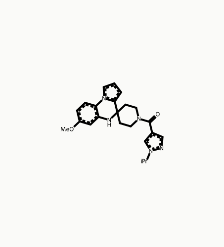 COc1ccc2c(c1)NC1(CCN(C(=O)c3cnn(C(C)C)c3)CC1)c1cccn1-2